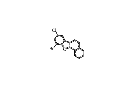 Clc1cc(Br)c2oc3c4ccccc4ccc3c2c1